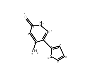 Cc1cc(=O)[nH]nc1-c1cccs1